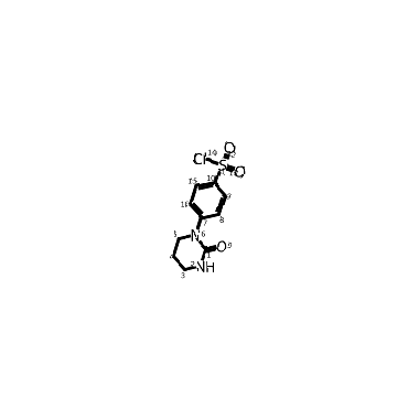 O=C1NCCCN1c1ccc(S(=O)(=O)Cl)cc1